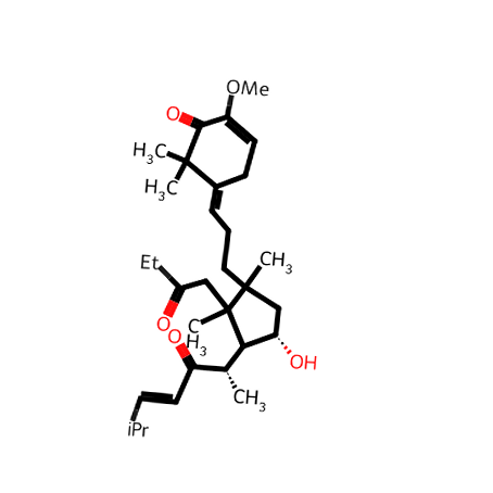 CCC(=O)CC1(C)C([C@H](C)C(=O)/C=C/C(C)C)[C@@H](O)CC1(C)CC/C=C1\CC=C(OC)C(=O)C1(C)C